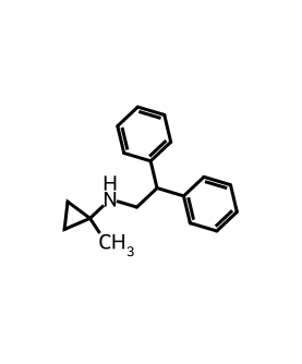 CC1(NCC(c2ccccc2)c2ccccc2)CC1